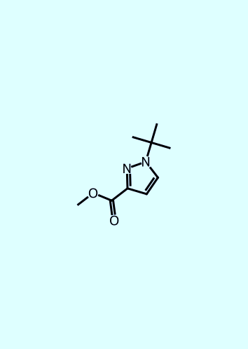 COC(=O)c1ccn(C(C)(C)C)n1